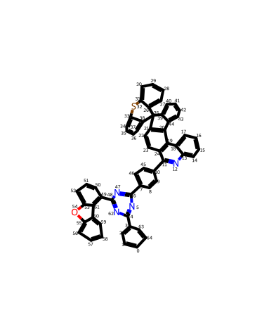 c1ccc(-c2nc(-c3ccc(-c4nc5ccccc5c5c6c(ccc45)C4(c5ccccc5Sc5ccccc54)c4ccccc4-6)cc3)nc(-c3cccc4oc5ccccc5c34)n2)cc1